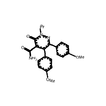 COc1ccc(-c2nn(C(C)C)c(=O)c(C(N)=O)c2-c2ccc(OC)cc2)cc1